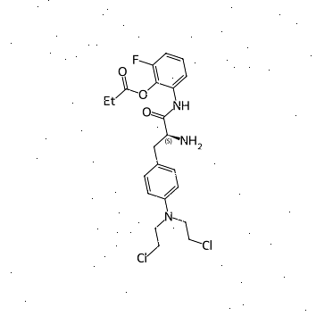 CCC(=O)Oc1c(F)cccc1NC(=O)[C@@H](N)Cc1ccc(N(CCCl)CCCl)cc1